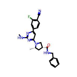 CNc1nc(-c2ccc(C#N)c(F)c2)cc(N2C[C@H](C(=O)NCc3ccccc3)C[C@@H]2C)n1